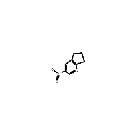 O=[N+]([O-])c1cnc2c(c1)CCC2